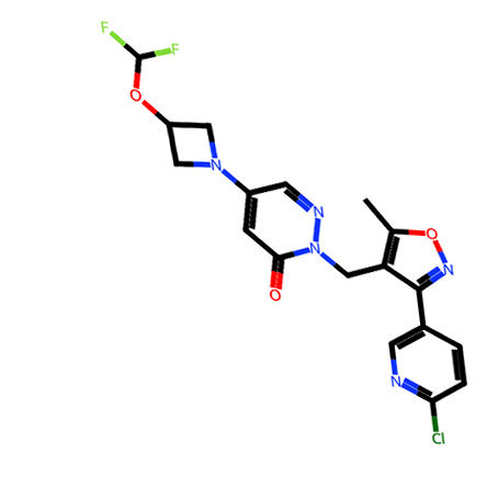 Cc1onc(-c2ccc(Cl)nc2)c1Cn1ncc(N2CC(OC(F)F)C2)cc1=O